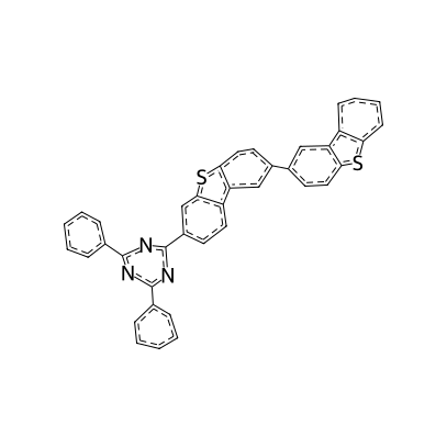 c1ccc(-c2nc(-c3ccccc3)nc(-c3ccc4c(c3)sc3ccc(-c5ccc6sc7ccccc7c6c5)cc34)n2)cc1